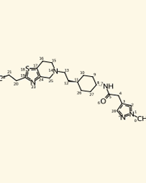 Cn1cc(CC(=O)N[C@H]2CC[C@H](CCN3CCc4sc(CCC(F)(F)F)nc4C3)CC2)cn1